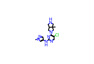 Cn1cc(Nc2ncc(Cl)c(N3CC4CNCC4(C)C3)n2)cn1